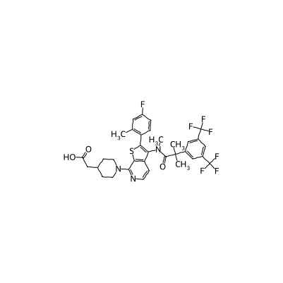 Cc1cc(F)ccc1-c1sc2c(N3CCC(CC(=O)O)CC3)nccc2c1N(C)C(=O)C(C)(C)c1cc(C(F)(F)F)cc(C(F)(F)F)c1